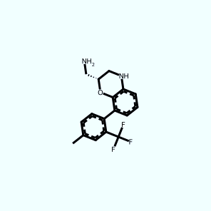 Cc1ccc(-c2cccc3c2O[C@H](CN)CN3)c(C(F)(F)F)c1